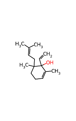 C=CC1(O)C(C)=CCCC1(C)CC=C(C)C